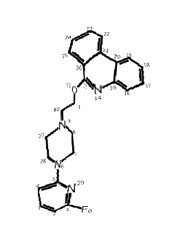 Fc1cccc(N2CCN(CCOc3nc4ccccc4c4ccccc34)CC2)n1